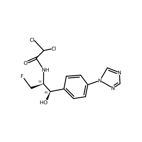 O=C(N[C@H](CF)[C@H](O)c1ccc(-n2cncn2)cc1)C(Cl)Cl